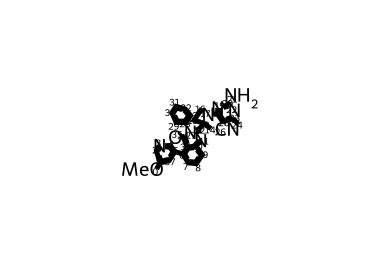 COc1cncc(-c2cccc3nc(C4(C)CCN4c4nc(N)nc(C)c4C#N)n(-c4ccccc4)c(=O)c23)c1